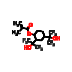 C=C(C)C(=O)OC1CCC(C(O)(C(F)(F)F)C(F)(F)F)CC1C(O)(C(F)(F)F)C(F)(F)F